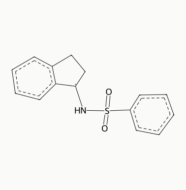 O=S(=O)(N[C]1CCc2ccccc21)c1ccccc1